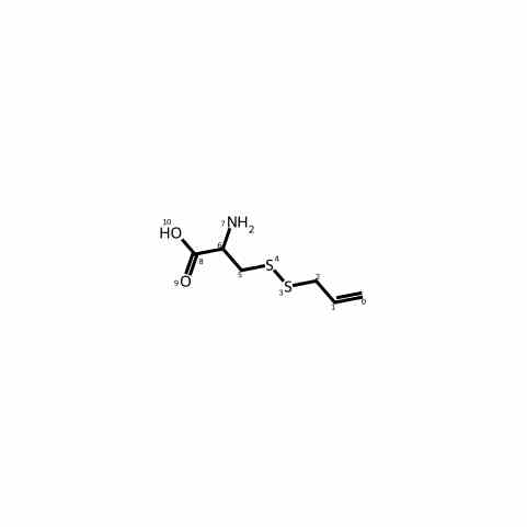 C=CCSSCC(N)C(=O)O